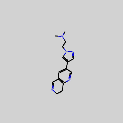 CN(C)CCn1cc(-c2cnc3c(c2)C=NCC3)cn1